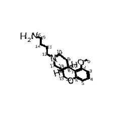 COc1cccc2c1[C@@H]1CCN(CCCCN)C[C@H]1CO2